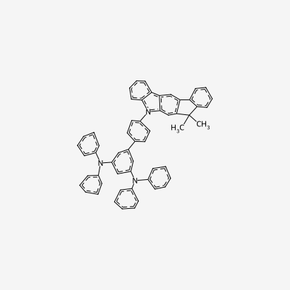 CC1(C)c2ccccc2-c2cc3c4ccccc4n(-c4ccc(-c5cc(N(c6ccccc6)c6ccccc6)cc(N(c6ccccc6)c6ccccc6)c5)cc4)c3cc21